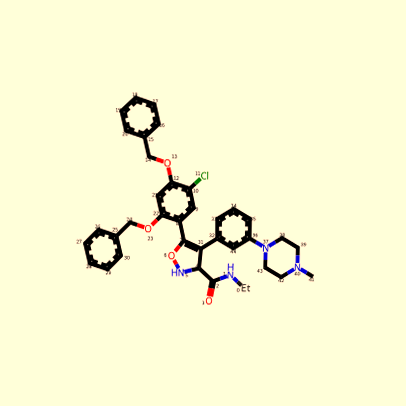 CCNC(=O)C1NOC(c2cc(Cl)c(OCc3ccccc3)cc2OCc2ccccc2)=C1c1cccc(N2CCN(C)CC2)c1